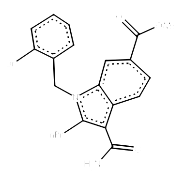 CCCc1c(C(N)=O)c2ccc(C(=O)OC)cc2n1Cc1ccccc1Br